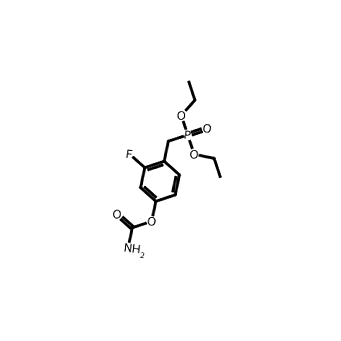 CCOP(=O)(Cc1ccc(OC(N)=O)cc1F)OCC